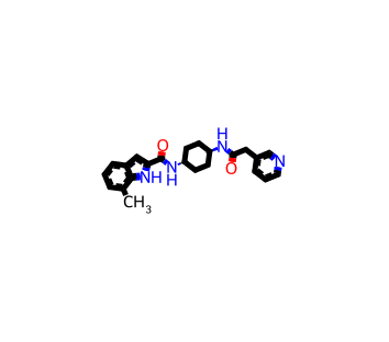 Cc1cccc2cc(C(=O)N[C@H]3CC[C@H](NC(=O)Cc4cccnc4)CC3)[nH]c12